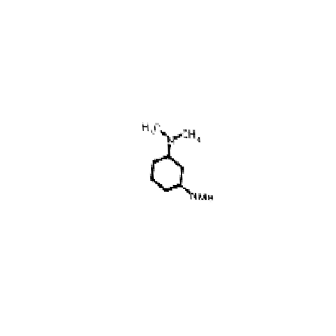 CN[C@H]1CCC[C@@H](N(C)C)C1